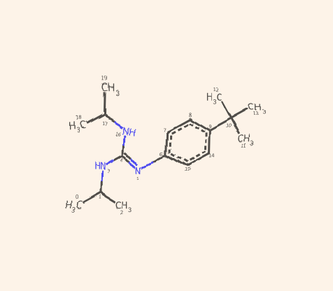 CC(C)NC(=Nc1ccc(C(C)(C)C)cc1)NC(C)C